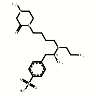 CCCN(CCCCN1CCN(C)CC1=O)[C@@H](C)Cc1ccc(S(C)(=O)=O)cc1